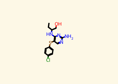 CCC(CO)Nc1nc(N)ncc1Sc1ccc(Cl)cc1